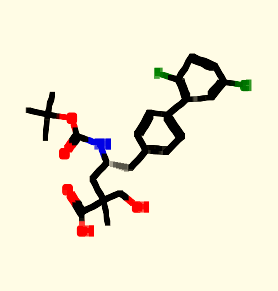 CC(C)(C)OC(=O)N[C@H](Cc1ccc(-c2cc(Cl)ccc2F)cc1)CC(C)(CO)C(=O)O